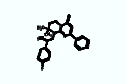 CC1(C)CCn2c(nc(-c3ccncc3)cc2=O)N1CC(O)c1ccc(F)cc1